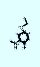 CCOc1ccc(F)c(NC)c1